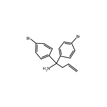 C=CCC(N)(c1ccc(Br)cc1)c1ccc(Br)cc1